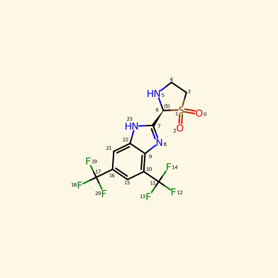 O=S1(=O)CCN[C@@H]1c1nc2c(C(F)(F)F)cc(C(F)(F)F)cc2[nH]1